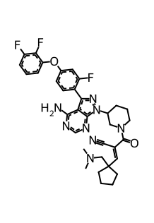 CN(C)CC1(C=C(C#N)C(=O)N2CCCC(n3nc(-c4ccc(Oc5cccc(F)c5F)cc4F)c4c(N)ncnc43)C2)CCCC1